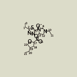 CCc1nnc([N+]2([O-])CN(CC)CC2OC(=O)C2CC(CC)CO2)s1